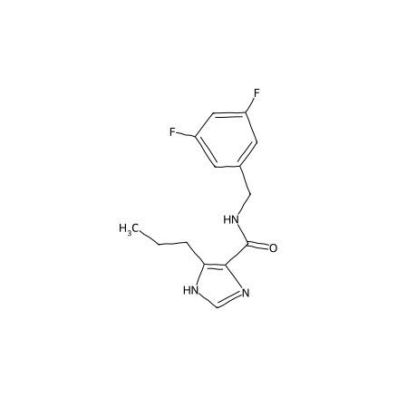 CCCc1[nH]cnc1C(=O)NCc1cc(F)cc(F)c1